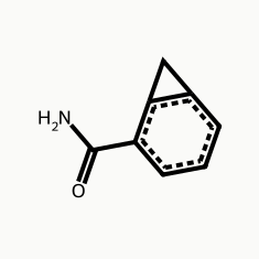 NC(=O)c1cccc2c1C2